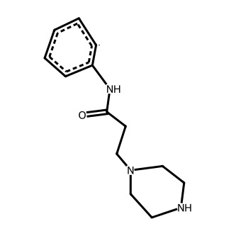 O=C(CCN1CCNCC1)Nc1[c]cccc1